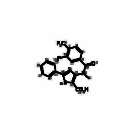 CN(C(=O)c1ccc(C(F)(F)F)c(F)c1)c1cc(-c2ccccc2)sc1C(=O)O